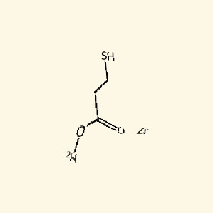 [2H]OC(=O)CCS.[Zr]